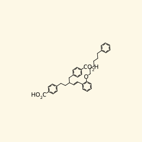 O=C(O)c1ccc(CCC(C=Cc2ccccc2OCCCCCCc2ccccc2)Cc2ccc(C(=O)O)cc2)cc1